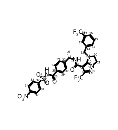 C[C@H](NC(=O)c1c(C(F)(F)F)nn2c1N(Cc1cccc(C(F)(F)F)c1)CC2)c1ccc(C(=O)NS(=O)(=O)c2ccc([N+](=O)[O-])cc2)cc1